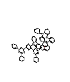 c1ccc(-c2cc(-c3ccc(-n4c5ccccc5c5ccccc54)c(-c4nc(-c5ccccc5)nc(-c5cccc(-c6ccc7c8c6N(c6ccccc6)c6ccccc6B8c6ccccc6N7c6ccccc6)c5)n4)c3)nc(-c3ccccc3)n2)cc1